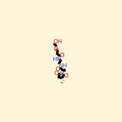 C=C(C(=O)NCCNC(=O)CCOCCO)N1C(=O)CC(SC)C1=O